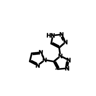 [c]1nnn(-c2c[nH]nn2)c1-n1nccn1